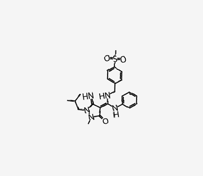 CC(C)CN1C(=N)/C(=C(\NCc2ccc(S(C)(=O)=O)cc2)Nc2ccccc2)C(=O)N1C